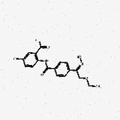 CCOC/C(=N/O)c1ccc(C(=O)Nc2ccc(Cl)cc2C(=O)O)cc1